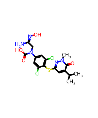 CC(C)c1cc(Sc2c(Cl)cc(N(C/C(N)=N\O)C(=O)O)cc2Cl)nn(C)c1=O